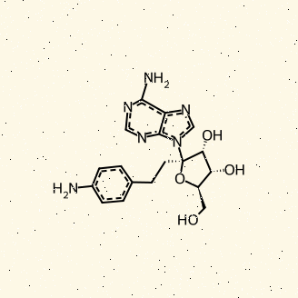 Nc1ccc(CC[C@@]2(n3cnc4c(N)ncnc43)O[C@H](CO)[C@@H](O)[C@H]2O)cc1